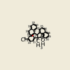 C[C@](C(=O)O)(c1ccc(Cl)cc1)C(c1cccc2ccccc12)c1cccc2ccccc12